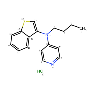 CCCCN(c1ccncc1)c1csc2ccccc12.Cl